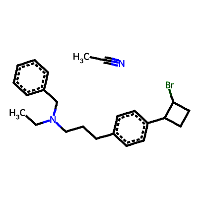 CC#N.CCN(CCCc1ccc(C2CCC2Br)cc1)Cc1ccccc1